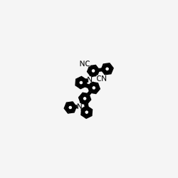 N#Cc1cc(-c2ccccc2)c(C#N)c(-n2c3ccccc3c3c(-c4ccc5c(c4)c4ccccc4n5-c4ccccc4)cccc32)c1